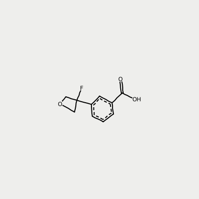 O=C(O)c1cccc(C2(F)COC2)c1